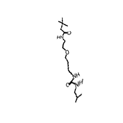 CC(C)CNC(=O)NCCCOCCNC(=O)CC(C)(C)C